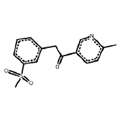 Cc1ccc(C(=O)Cc2cccc(S(C)(=O)=O)c2)cn1